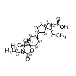 CCC1N(C(=O)O)CC12CCC(N1CCC3(CC1)OC(=O)N(CC)C3(C)C)C2